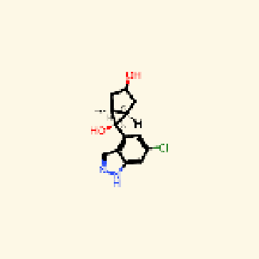 OC1C[C@@H]2[C@H](C1)[C@@]2(O)c1cc(Cl)cc2[nH]ncc12